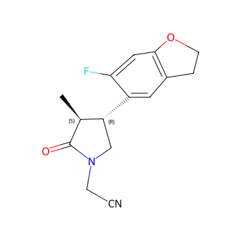 C[C@@H]1C(=O)N(CC#N)C[C@H]1c1cc2c(cc1F)OCC2